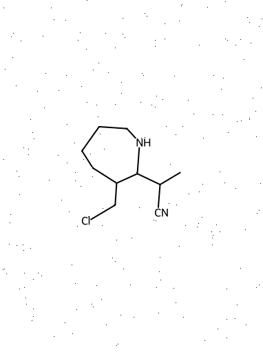 CC(C#N)C1NCCCCC1CCl